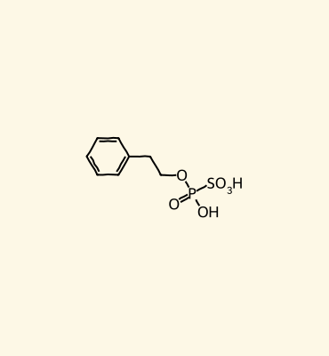 O=P(O)(OCCc1ccccc1)S(=O)(=O)O